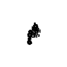 Cc1ccc(S(=O)(=O)O)c(N=Nc2ccc3ccc(N=Nc4ccccc4)c(O)c3c2N)c1